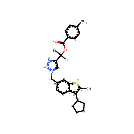 CCC(OC(=O)c1ccc([N+](=O)[O-])cc1)(c1cn(Cc2ccc3c(C4CCCC4)c(C#N)sc3c2)nn1)C(F)(F)F